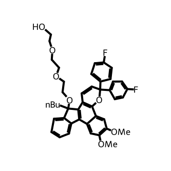 CCCCC1(OCCOCCOCCO)c2ccccc2-c2c1c1c(c3cc(OC)c(OC)cc23)OC(c2ccc(F)cc2)(c2ccc(F)cc2)C=C1